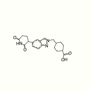 O=C1CCC(c2ccc3nn(CC4CCC(C(=O)O)CC4)cc3c2)C(=O)N1